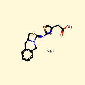 O=C(O)Cc1csc(N=C2SCC3Cc4ccccc4CN23)n1.[NaH]